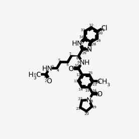 CC(=O)NCCCC[C@H](NC(=O)c1ccc(C(=O)N2CCCC2)c(C)c1)c1nc2cc(Cl)ccc2[nH]1